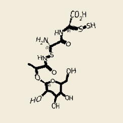 CC(O[C@H]1OC(CO)C(O)C(O)C1O)C(=O)NS[C@H](N)C(=O)N[C@H](SS)C(=O)O